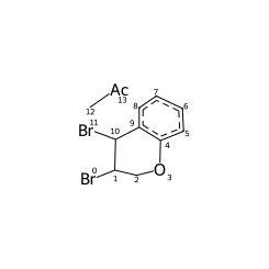 BrC1COc2ccccc2C1Br.CC(C)=O